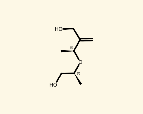 C=C(CO)[C@H](C)O[C@@H](C)CO